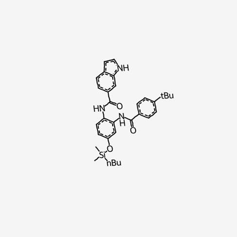 CCCC[Si](C)(C)Oc1ccc(NC(=O)c2ccc3cc[nH]c3c2)c(NC(=O)c2ccc(C(C)(C)C)cc2)c1